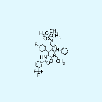 CCN1C(=O)[C@@H](NC(=O)c2cccc(C(F)(F)F)c2)[C@@H](c2ccc(F)cc2)c2c(C=N[S@@+]([O-])C(C)(C)C)nn(-c3ccccc3)c21